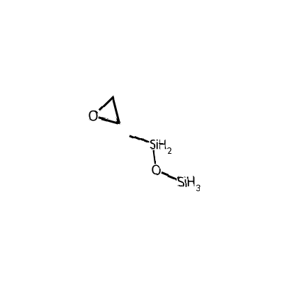 C1CO1.C[SiH2]O[SiH3]